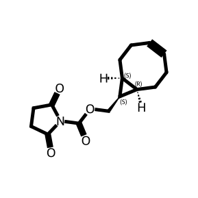 O=C1CCC(=O)N1C(=O)OC[C@@H]1[C@@H]2CCC#CCC[C@@H]21